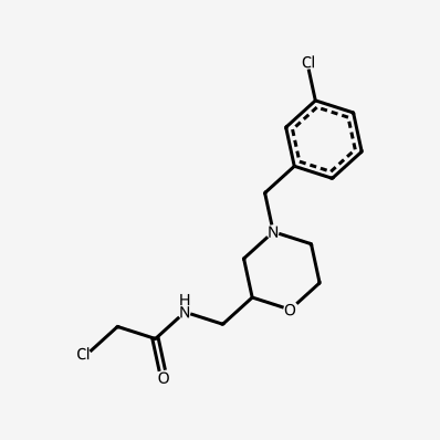 O=C(CCl)NCC1CN(Cc2cccc(Cl)c2)CCO1